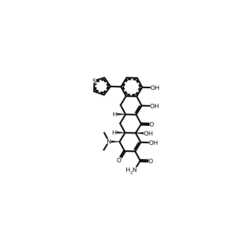 CN(C)[C@@H]1C(=O)C(C(N)=O)=C(O)[C@@]2(O)C(=O)C3=C(O)c4c(O)ccc(-c5ccsc5)c4C[C@H]3C[C@@H]12